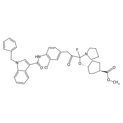 COC(=O)[C@H]1CC[C@H](OC(F)(C(=O)Cc2ccc(NC(=O)c3cn(Cc4ccccc4)c4ccccc34)c(Cl)c2)N2CCCC2)CC1